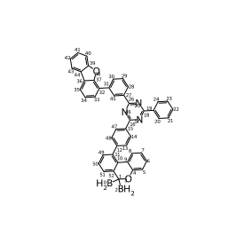 BC1(B)Oc2ccccc2-c2c(-c3ccc(-c4nc(-c5ccccc5)nc(-c5cccc(-c6cccc7c6oc6ccccc67)c5)n4)cc3)cccc21